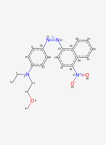 CCN(CCOC)c1ccc(/N=N\c2ccc([N+](=O)[O-])c3ccccc23)cc1